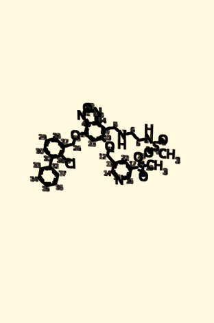 CS(=O)(=O)NCCNCc1c(OCc2cncc(S(C)(=O)=O)c2)cc(OCc2cccc(-c3ccccc3)c2Cl)c2nonc12